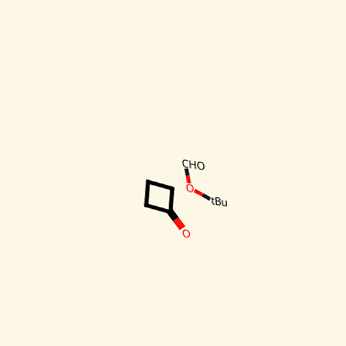 CC(C)(C)OC=O.O=C1CCC1